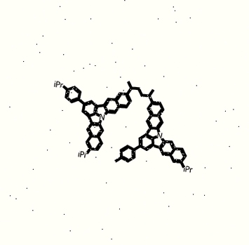 Cc1ccc(-c2cc3c4cc5cc(C(C)C)ccc5cc4n4c5cc6ccc(C(C)CCC(C)c7ccc8cc9c(cc8c7)c7cc(-c8ccc(C(C)C)cc8)cc8c%10cc%11cc(C(C)C)ccc%11cc%10n9c87)cc6cc5c(c2)c34)cc1